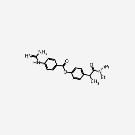 CCCN(CC)C(=O)C(C)c1ccc(OC(=O)c2ccc(NC(=N)N)cc2)cc1